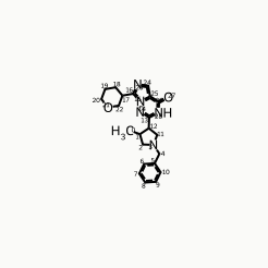 CC1CN(Cc2ccccc2)CC1c1nn2c(C3CCCOC3)ncc2c(=O)[nH]1